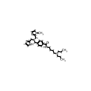 CCCN(CCC)CCCCNC(=O)c1ccc(CN(Cc2ncc[nH]2)Cc2nccn2C)cc1